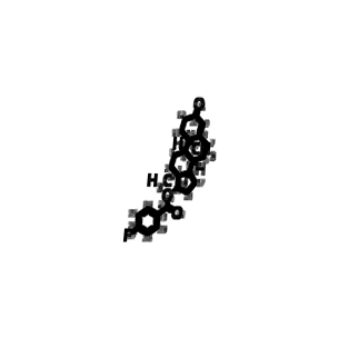 C[C@]12CC[C@H]3[C@@H](CCC4=CC(=O)CC[C@@]43C)[C@@H]1CC[C@@H]2OC(=O)c1ccc(F)cc1